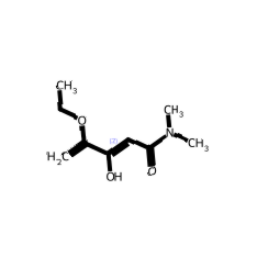 C=C(OCC)/C(O)=C/C(=O)N(C)C